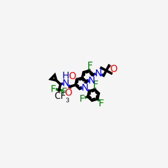 O=C(NC(C1CC1)C(F)(F)C(F)(F)F)c1cn(-c2c(F)cc(F)cc2F)c2nc(N3CC4(COC4)C3)c(F)cc2c1=O